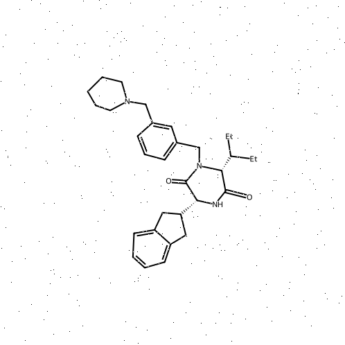 CCC(CC)[C@@H]1C(=O)N[C@H](C2Cc3ccccc3C2)C(=O)N1Cc1cccc(CN2CCCCC2)c1